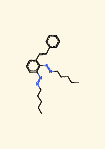 CCCCCN=Nc1cccc(C=Cc2ccccc2)c1N=NCCCCC